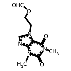 Cn1c(=O)c2c(ncn2CCOC=O)n(C)c1=O